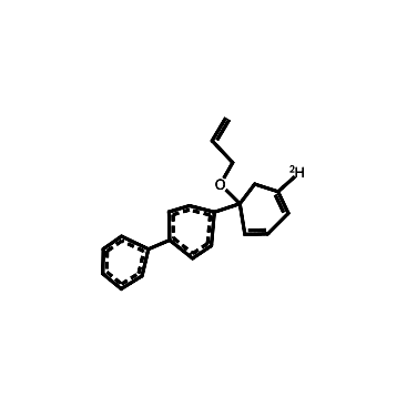 [2H]C1=CC=CC(OCC=C)(c2ccc(-c3ccccc3)cc2)C1